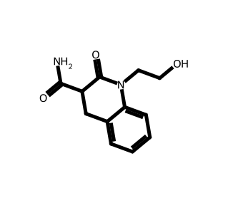 NC(=O)C1Cc2ccccc2N(CCO)C1=O